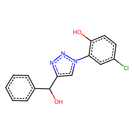 Oc1ccc(Cl)cc1-n1cc(C(O)c2ccccc2)nn1